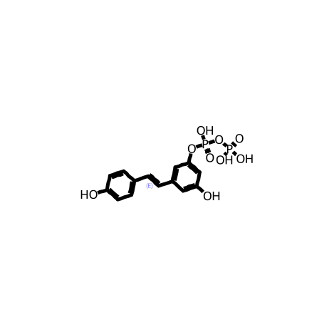 O=P(O)(O)OP(=O)(O)Oc1cc(O)cc(/C=C/c2ccc(O)cc2)c1